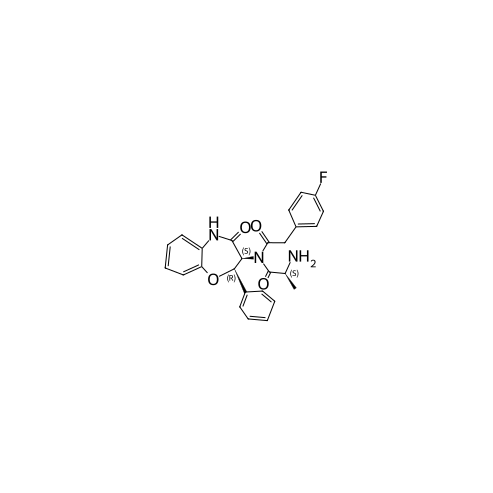 C[C@H](N)C(=O)N(C(=O)Cc1ccc(F)cc1)[C@@H]1C(=O)Nc2ccccc2O[C@@H]1c1ccccc1